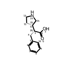 O=C(O)[C@H](Cc1ccccc1)[C@@H]1CCNC1